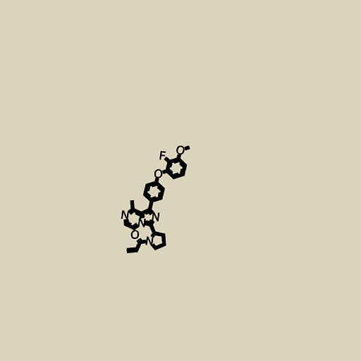 C=CC(=O)N1CCCC1c1nc(-c2ccc(Oc3cccc(OC)c3F)cc2)c2c(C)nccn12